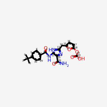 CC(C)(C)c1ccc(C(=O)Nc2[nH]c(Cc3ccc(OC(=O)O)o3)nc2C(N)=O)cc1